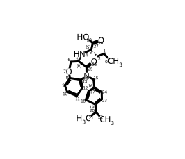 CCC[C@H](N[C@@H]1COc2ccccc2N(Cc2ccc(C(C)C)cc2)C1=O)C(=O)O